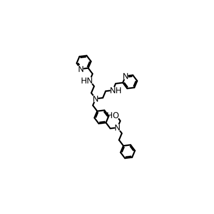 OCN(CCc1ccccc1)Cc1ccc(CN(CCNCc2ccccn2)CCNCc2ccccn2)cc1